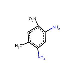 Cc1cc([N+](=O)[O-])c(N)cc1N